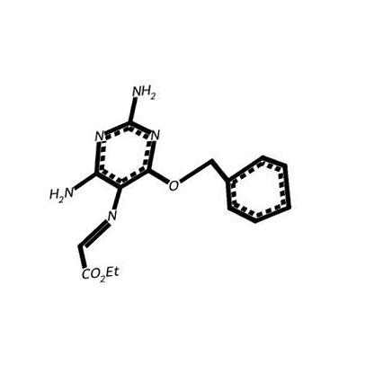 CCOC(=O)C=Nc1c(N)nc(N)nc1OCc1ccccc1